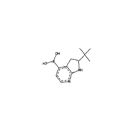 CC(C)(C)C1Cc2c(B(O)O)ccnc2N1